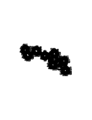 c1cc(-c2ccc3c(c2)c2cccc4c2n3-c2ccccc2N4c2cccc3c2sc2ccccc23)cc(-c2cccc3ccccc23)c1